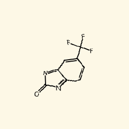 O=C1N=c2ccc(C(F)(F)F)cc2=N1